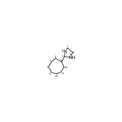 C1CCCC(C2[N]CCN2)CCC1